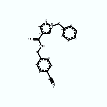 N#Cc1ccc(CNC(=O)c2cnn(Cc3ccccc3)c2)cc1